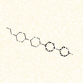 CCCc1ccc(-c2ccc(C3CCC(C4CCC(CCF)CC4)CC3)cc2)cc1